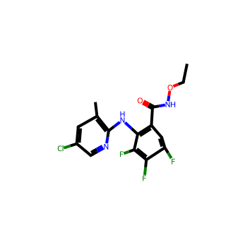 CCONC(=O)c1cc(F)c(F)c(F)c1Nc1ncc(Cl)cc1C